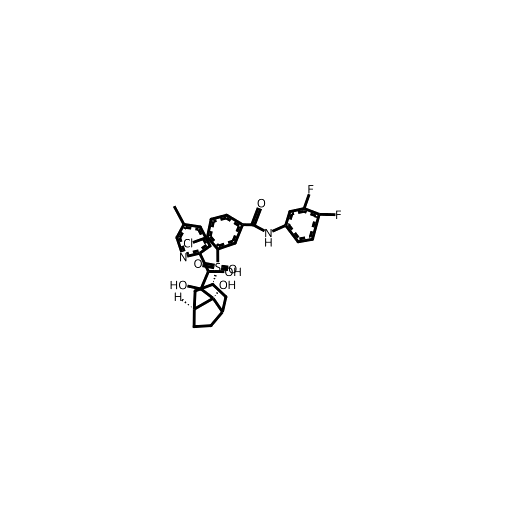 Cc1ccc(C(O)C(O)[C@@]2(O)C3CC[C@H]2C[C@H](S(=O)(=O)c2cc(C(=O)Nc4ccc(F)c(F)c4)ccc2Cl)C3)nc1